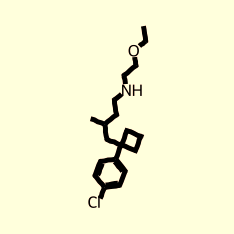 CCOCCNCCC(C)CC1(c2ccc(Cl)cc2)CCC1